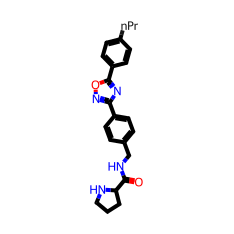 CCCc1ccc(-c2nc(-c3ccc(CNC(=O)C4CCCN4)cc3)no2)cc1